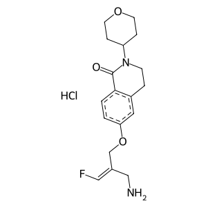 Cl.NC/C(=C/F)COc1ccc2c(c1)CCN(C1CCOCC1)C2=O